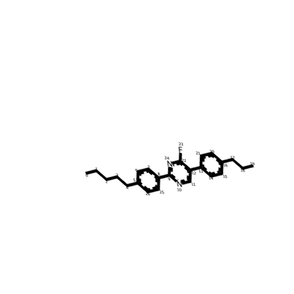 CCCCCc1ccc(-c2ncc(-c3ccc(CCC)cc3)c(F)n2)cc1